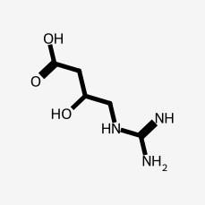 N=C(N)NCC(O)CC(=O)O